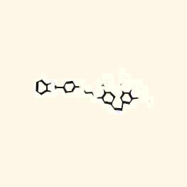 COc1ccc(/C=C\c2cc(C)c(C)c(OC)c2)cc1OCCOc1ccc(-c2nc3ccccc3s2)cc1